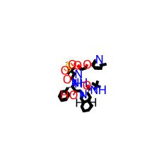 Cc1ccc(OCC(=O)N[C@H](C(=O)N[C@@H](Cc2ccccc2)[C@H](O)CN2C[C@H]3CCCC[C@H]3C[C@H]2C(=O)NC(C)(C)C)C(C)(C)S(C)(=O)=O)cn1